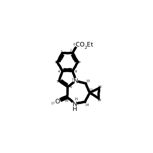 CCOC(=O)c1ccc2cc3n(c2c1)CC1(CC1)CNC3=O